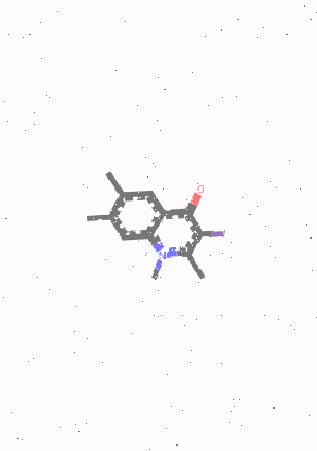 Cc1cc2c(=O)c(I)c(C)n(C)c2cc1C